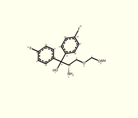 COCOC[C@H](N)C(O)(c1ccc(F)cc1)c1ccc(F)cc1